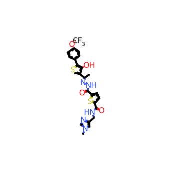 C/C(=N\NC(=O)c1ccc(C(=O)NCc2cn(C)cn2)s1)c1csc(-c2ccc(OC(F)(F)F)cc2)c1O